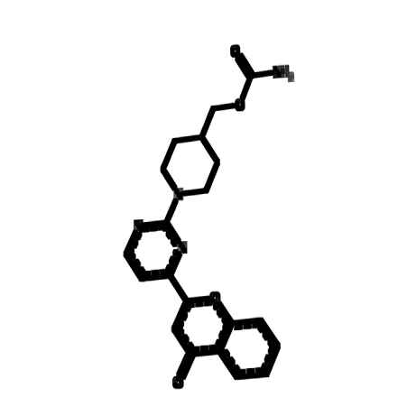 NC(=O)OCC1CCN(c2nccc(-c3cc(=O)c4ccccc4o3)n2)CC1